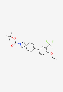 CCOc1ccc(C2=CCC3(CC2)CN(C(=O)OC(C)(C)C)C3)cc1C(F)(F)F